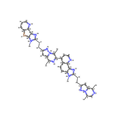 Cc1ncc(C)n2nc(CCc3nc4c5nccc(-c6nc(C)c7cc(CCc8nc9c%10ncccc%10sc9n8C)nn7c6C)c5ccc4n3C)cc12